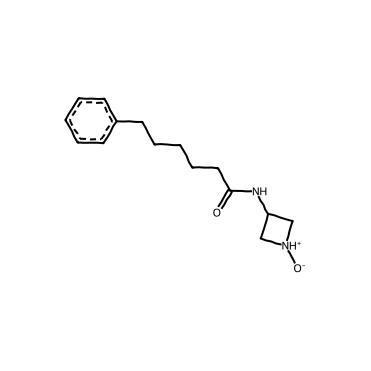 O=C(CCCCCc1ccccc1)NC1C[NH+]([O-])C1